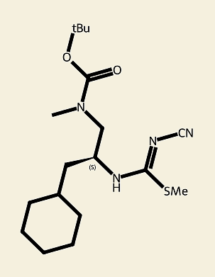 CSC(=NC#N)N[C@@H](CC1CCCCC1)CN(C)C(=O)OC(C)(C)C